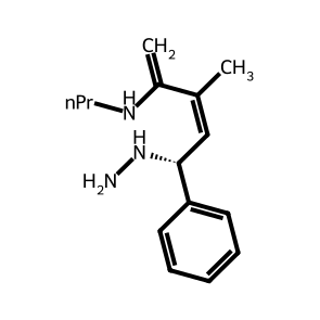 C=C(NCCC)/C(C)=C\[C@@H](NN)c1ccccc1